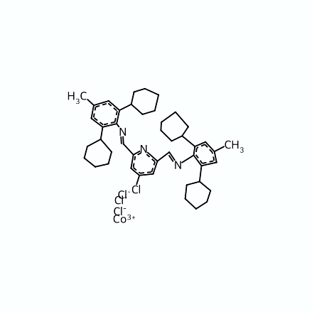 Cc1cc(C2CCCCC2)c(N=Cc2cc(Cl)cc(C=Nc3c(C4CCCCC4)cc(C)cc3C3CCCCC3)n2)c(C2CCCCC2)c1.[Cl-].[Cl-].[Cl-].[Co+3]